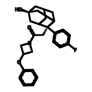 O=C(C[C@]1(c2ccc(F)cc2)C2CC3CC1C[C@@](O)(C3)C2)N1CC(Oc2ccccc2)C1